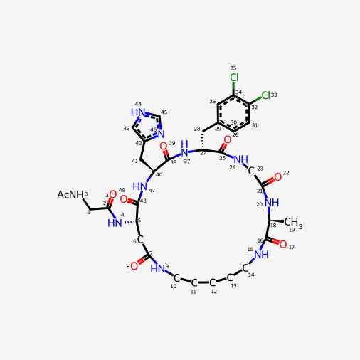 CC(=O)NCC(=O)N[C@H]1CC(=O)NCCCCCNC(=O)[C@H](C)NC(=O)CNC(=O)[C@@H](Cc2ccc(Cl)c(Cl)c2)NC(=O)[C@H](Cc2c[nH]cn2)NC1=O